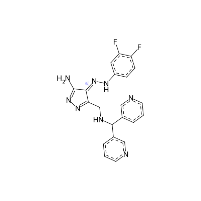 NC1=NN=C(CNC(c2cccnc2)c2cccnc2)/C1=N\Nc1ccc(F)c(F)c1